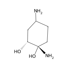 NC1CC[C@](N)(O)[C@H](O)C1